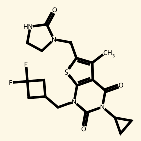 Cc1c(CN2CCNC2=O)sc2c1c(=O)n(C1CC1)c(=O)n2CC1CC(F)(F)C1